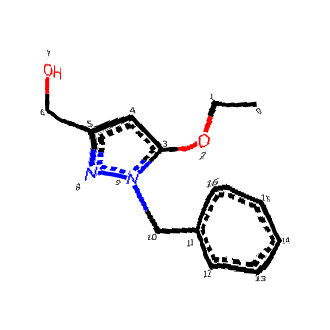 CCOc1cc(CO)nn1Cc1ccccc1